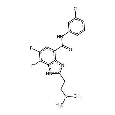 CN(C)CCc1nc2c(C(=O)Nc3cccc(Cl)c3)cc(F)c(F)c2[nH]1